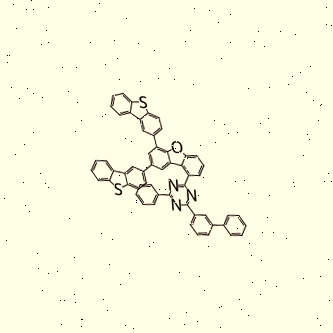 c1ccc(-c2cccc(-c3nc(-c4ccccc4)nc(-c4cccc5oc6c(-c7ccc8sc9ccccc9c8c7)cc(-c7ccc8sc9ccccc9c8c7)cc6c45)n3)c2)cc1